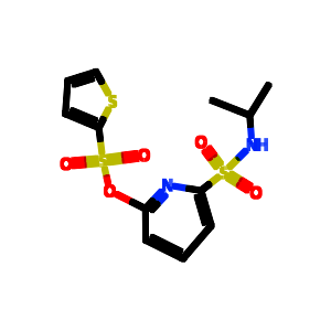 CC(C)NS(=O)(=O)c1cccc(OS(=O)(=O)c2cccs2)n1